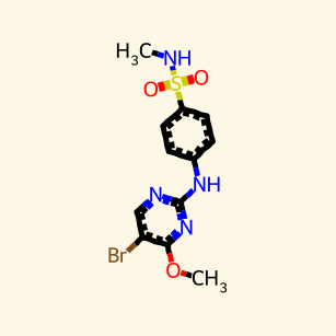 CNS(=O)(=O)c1ccc(Nc2ncc(Br)c(OC)n2)cc1